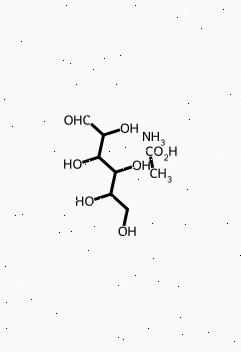 CC(=O)O.N.O=CC(O)C(O)C(O)C(O)CO